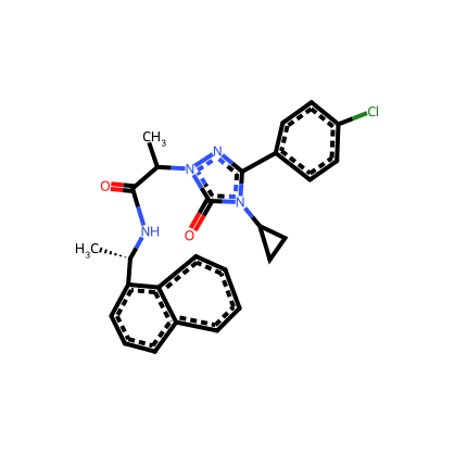 CC(C(=O)N[C@@H](C)c1cccc2ccccc12)n1nc(-c2ccc(Cl)cc2)n(C2CC2)c1=O